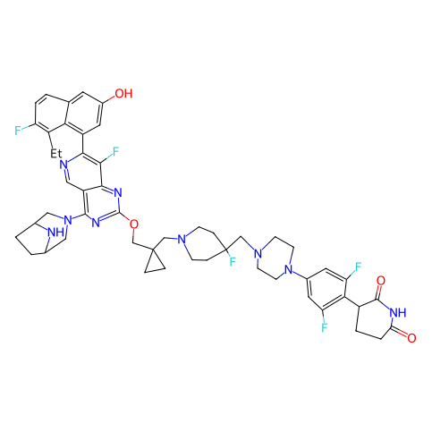 CCc1c(F)ccc2cc(O)cc(-c3ncc4c(N5CC6CCC(C5)N6)nc(OCC5(CN6CCC(F)(CN7CCN(c8cc(F)c(C9CCC(=O)NC9=O)c(F)c8)CC7)CC6)CC5)nc4c3F)c12